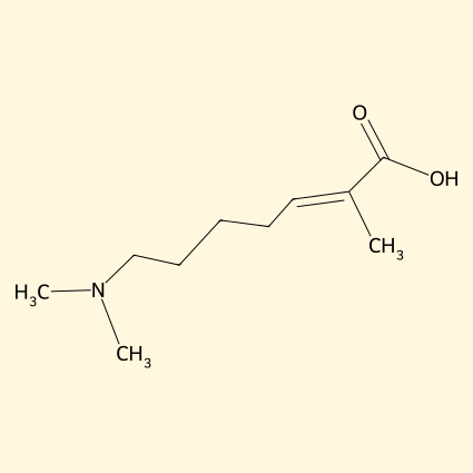 C/C(=C\CCCCN(C)C)C(=O)O